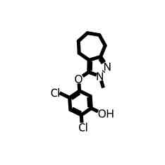 Cn1nc2c(c1Oc1cc(O)c(Cl)cc1Cl)CCCCC2